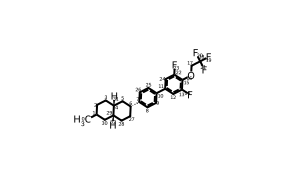 CC1CC[C@@H]2C[C@H](c3ccc(-c4cc(F)c(OCC(F)(F)F)c(F)c4)cc3)CC[C@@H]2C1